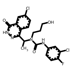 CC(c1n[nH]c(=O)c2cc(Cl)ccc12)N(CCCO)C(=O)Nc1ccc(F)c(Cl)c1